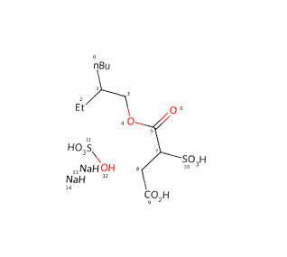 CCCCC(CC)COC(=O)C(CC(=O)O)S(=O)(=O)O.O=S(=O)(O)O.[NaH].[NaH]